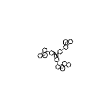 c1ccc2c(c1)ccc1c2oc2cccc(-c3ccc(N(c4ccc(-c5ccc6c(c5)oc5ccccc56)cc4)c4ccc(-c5cccc6c5oc5ccccc56)cc4)cc3)c21